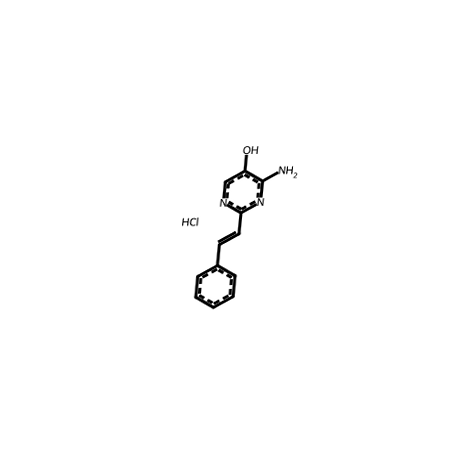 Cl.Nc1nc(C=Cc2ccccc2)ncc1O